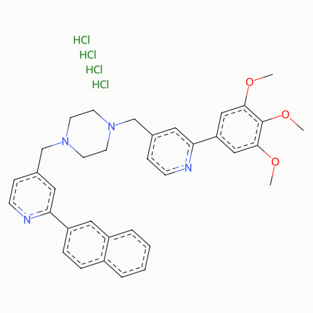 COc1cc(-c2cc(CN3CCN(Cc4ccnc(-c5ccc6ccccc6c5)c4)CC3)ccn2)cc(OC)c1OC.Cl.Cl.Cl.Cl